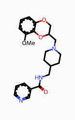 COc1cccc2c1OC(CN1CCC(CNC(=O)c3cccnc3)CC1)CO2